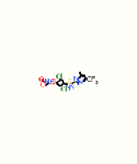 Cc1cc(C(F)(F)F)cn2cc(-c3nnc(-c4cc(Cl)c(OC[C@@H]5COC(=O)N5)cc4Cl)s3)nc12